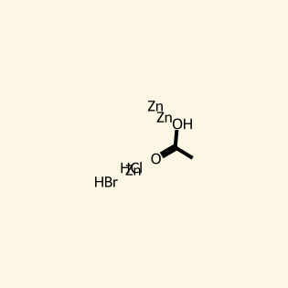 Br.CC(=O)O.Cl.[Zn].[Zn].[Zn]